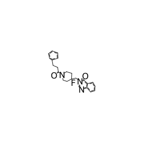 O=C(CCc1ccccc1)N1CCC(F)(Cn2cnc3ccccc3c2=O)CC1